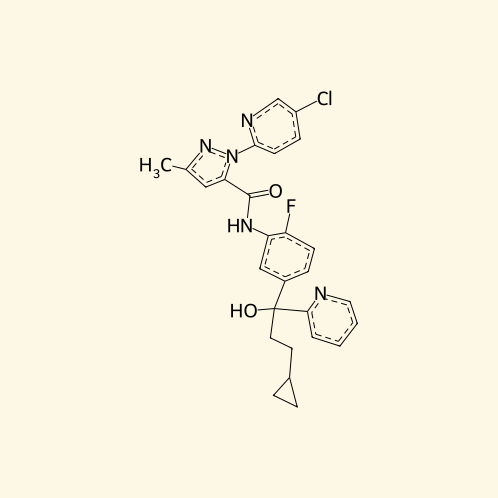 Cc1cc(C(=O)Nc2cc(C(O)(CCC3CC3)c3ccccn3)ccc2F)n(-c2ccc(Cl)cn2)n1